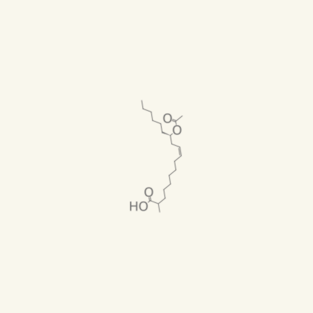 CCCCCC[C@H](C/C=C\CCCCCCC(C)C(=O)O)OC(C)=O